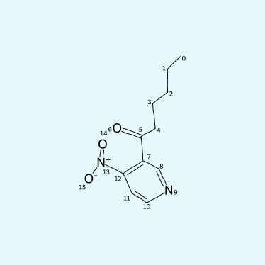 CCCCCC(=O)c1cnccc1[N+](=O)[O-]